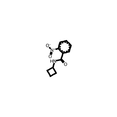 O=C(NC1CCC1)c1ccccc1[N+](=O)[O-]